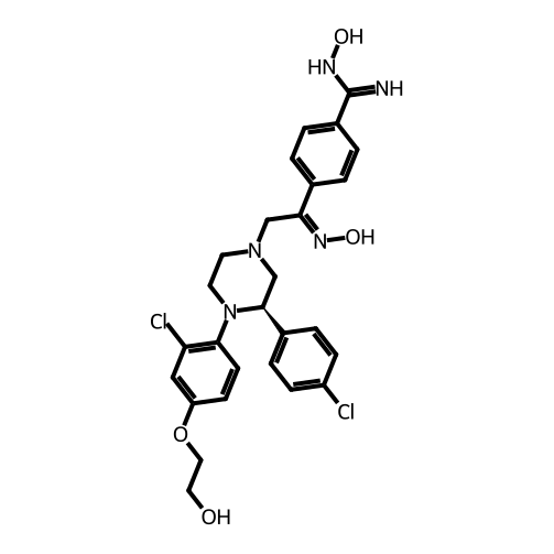 N=C(NO)c1ccc(/C(CN2CCN(c3ccc(OCCO)cc3Cl)[C@H](c3ccc(Cl)cc3)C2)=N\O)cc1